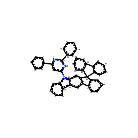 c1ccc(-c2cc(-n3c4ccccc4c4cc5c(cc43)C3(c4ccccc4-c4ccccc43)c3ccccc3-5)nc(-c3ccccc3)n2)cc1